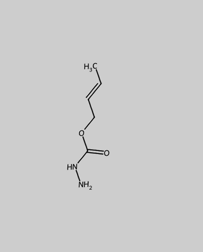 CC=CCOC(=O)NN